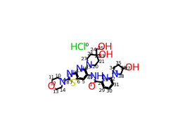 Cl.O=C(Nc1cc2sc(N3CCOCC3)nc2nc1N1CCC(O)(CO)CC1)c1cccc(N2CCC(O)C2)n1